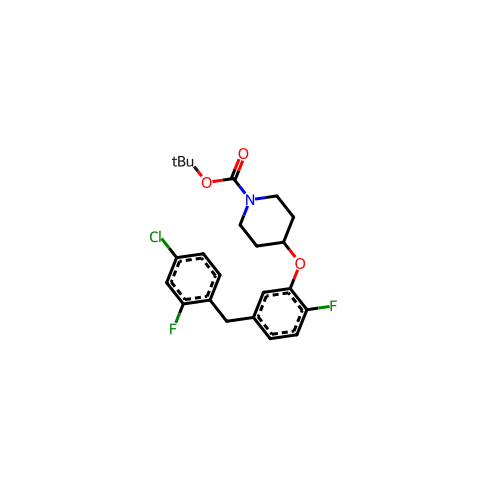 CC(C)(C)OC(=O)N1CCC(Oc2cc(Cc3ccc(Cl)cc3F)ccc2F)CC1